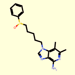 Cc1nc(N)c2ncn(CCCCC[S+]([O-])c3ccccc3)c2c1C